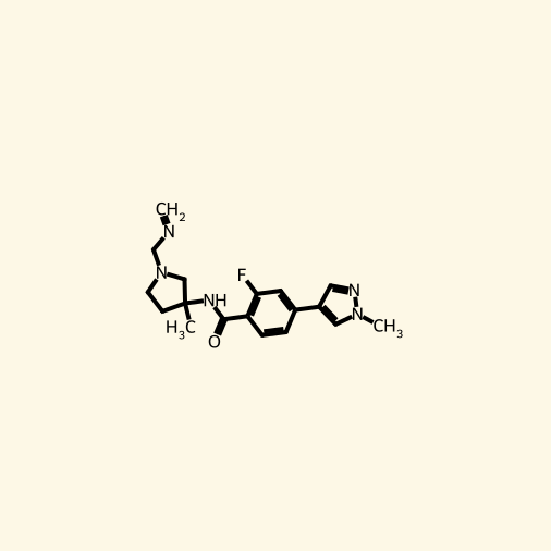 C=NCN1CCC(C)(NC(=O)c2ccc(-c3cnn(C)c3)cc2F)C1